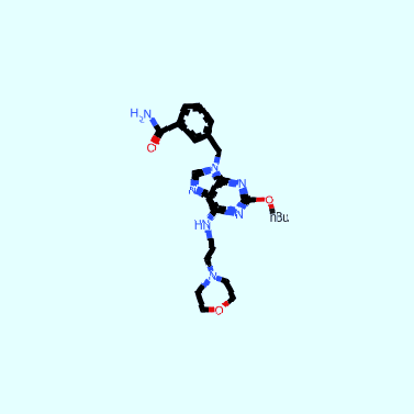 CCCCOc1nc(NCCN2CCOCC2)c2ncn(Cc3cccc(C(N)=O)c3)c2n1